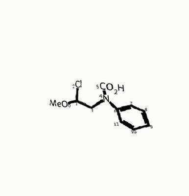 COC(Cl)CN(C(=O)O)c1ccccc1